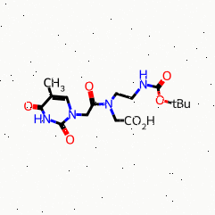 Cc1cn(CC(=O)N(CCNC(=O)OC(C)(C)C)CC(=O)O)c(=O)[nH]c1=O